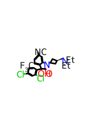 [C-]#[N+]c1cc2c(c(C(F)(F)F)c1)C(O)(c1ccc(Cl)cc1Cl)C(=O)N2[C@H]1C[C@H](CN(CC)CC)C1